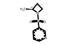 C[C@H]1CCN1S(=O)(=O)c1cccnc1